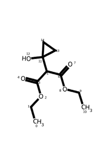 CCOC(=O)C(C(=O)OCC)C1(O)CC1